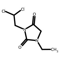 CCN1CC(=O)N(CC(Cl)Cl)C1=O